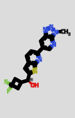 Cn1nnc2cc(-c3ccc4cc([C@H](O)C5CC(F)(F)C5)sc4n3)cnc21